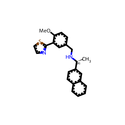 COc1ccc(CN[C@H](C)c2ccc3ccccc3c2)cc1-c1nccs1